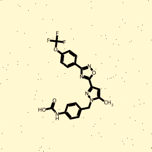 Cc1cc(-c2nc(-c3ccc(OC(F)(F)F)cc3)no2)nn1Cc1ccc(NC(=O)O)cc1